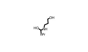 CCCC(O)NCCCO